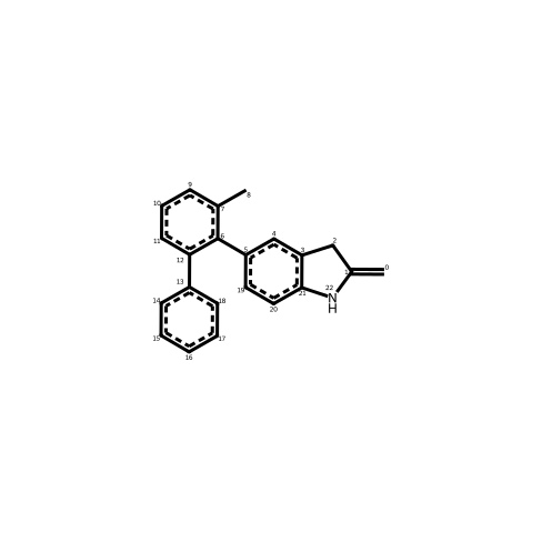 C=C1Cc2cc(-c3c(C)cccc3-c3ccccc3)ccc2N1